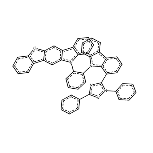 c1ccc(-c2nc(-c3cccc4c5ccccc5n(-c5ccccc5-n5c6ccccc6c6cc7oc8ccccc8c7cc65)c34)n(-c3ccccc3)n2)cc1